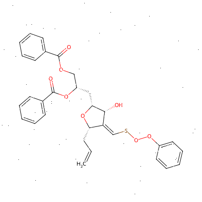 C=CC[C@@H]1O[C@H](C[C@@H](COC(=O)c2ccccc2)OC(=O)c2ccccc2)[C@H](O)C1=CSOOc1ccccc1